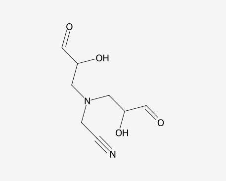 N#CCN(CC(O)C=O)CC(O)C=O